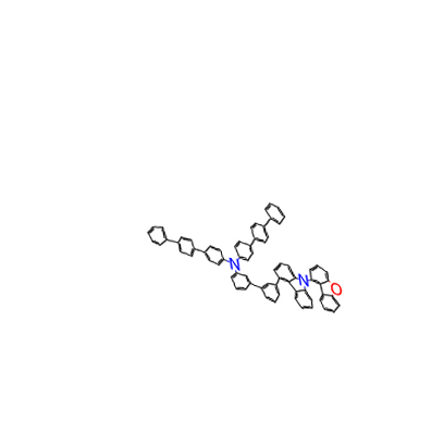 c1ccc(-c2ccc(-c3ccc(N(c4ccc(-c5ccc(-c6ccccc6)cc5)cc4)c4cccc(-c5cccc(-c6cccc7c6c6ccccc6n7-c6cccc7oc8ccccc8c67)c5)c4)cc3)cc2)cc1